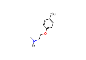 CCN(C)CCOc1ccc(C(C)(C)C)cc1